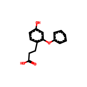 O=C(O)CCc1ccc(O)cc1Oc1ccccc1